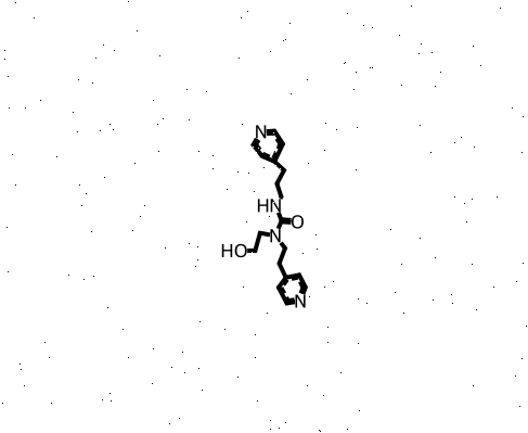 O=C(NCCCc1ccncc1)N(CCO)CCc1ccncc1